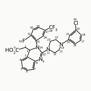 O=C(O)CC1c2ccccc2N=C(N2CCN(c3cccc(Cl)c3)CC2)N1c1cc(C(F)(F)F)ccc1F